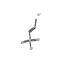 CC=CS(=O)(=O)[O-].[Li+]